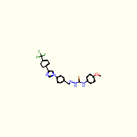 COc1ccc(NC(=S)N/N=C/c2ccc(-n3cnc(C4=CC=C(C(F)(F)F)CC4)c3)cc2)cc1